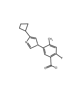 Cc1cc(F)c(C(=O)Cl)cc1-n1cnc(C2CCC2)c1